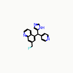 FCc1cc(C(c2ccncc2)c2cnc[nH]2)c2cccnc2c1